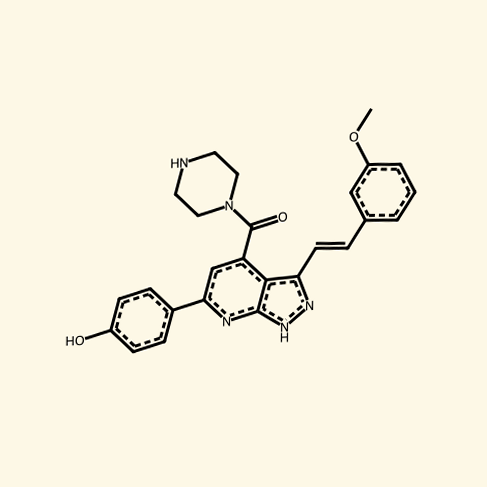 COc1cccc(C=Cc2n[nH]c3nc(-c4ccc(O)cc4)cc(C(=O)N4CCNCC4)c23)c1